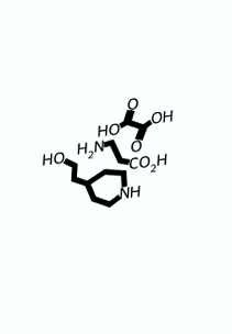 NCCC(=O)O.O=C(O)C(=O)O.OCCC1CCNCC1